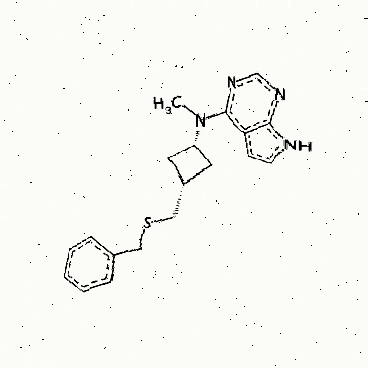 CN(c1ncnc2[nH]ccc12)[C@H]1C[C@@H](CSCc2ccccc2)C1